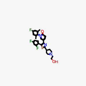 Cc1cc(F)cc(C)c1-n1cc(-c2nc(C3CCN(CCO)CC3)sc2-c2ccc(F)cc2F)ccc1=O